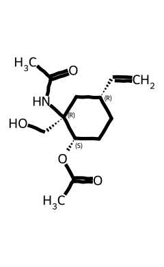 C=C[C@@H]1CC[C@H](OC(C)=O)[C@@](CO)(NC(C)=O)C1